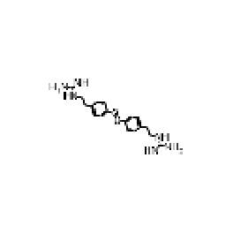 N=C(N)NCCc1ccc(OOc2ccc(CCNC(=N)N)cc2)cc1